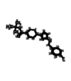 CC(C)(C)OC(=O)N1CCC(c2ccn(OCc3ccc(F)cc3)n2)CC1